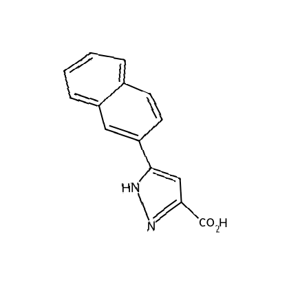 O=C(O)c1cc(-c2ccc3ccccc3c2)[nH]n1